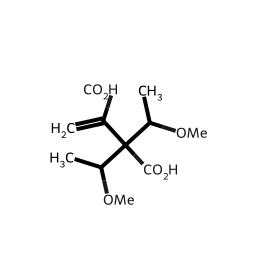 C=C(C(=O)O)C(C(=O)O)(C(C)OC)C(C)OC